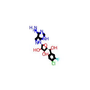 NN=c1nc[nH]c2c1cnn2[C@@H]1O[C@H](C(O)c2ccc(Cl)c(F)c2)[C@@H](O)[C@H]1O